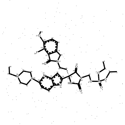 CCOP(=O)(OCC)OCN1C(=O)N[C@@](CCN2Cc3ccc(OC)c(F)c3C2=O)(c2cc3nc(N4CCN(CC)CC4)ccc3o2)C1=O